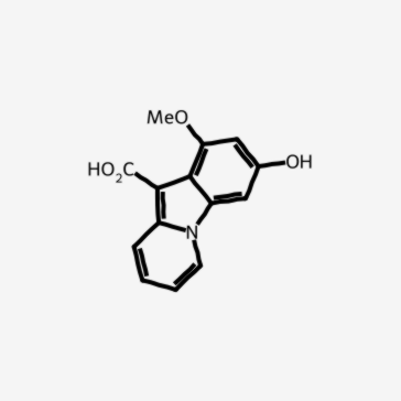 COc1cc(O)cc2c1c(C(=O)O)c1ccccn12